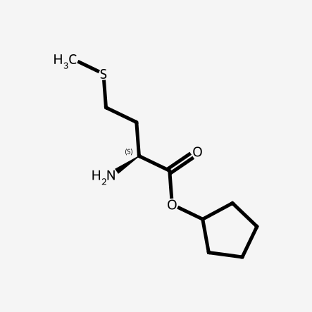 CSCC[C@H](N)C(=O)OC1CCCC1